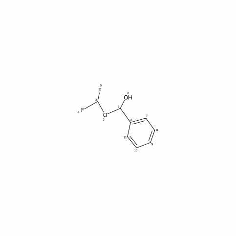 OC(OC(F)F)c1ccccc1